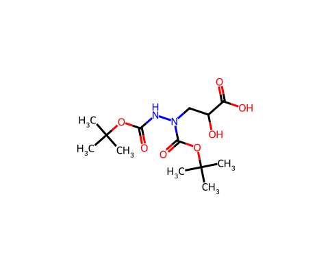 CC(C)(C)OC(=O)NN(CC(O)C(=O)O)C(=O)OC(C)(C)C